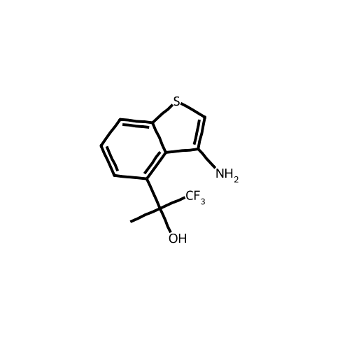 CC(O)(c1cccc2scc(N)c12)C(F)(F)F